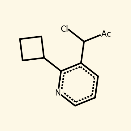 CC(=O)C(Cl)c1cccnc1C1CCC1